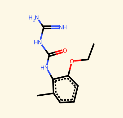 CCOc1cccc(C)c1NC(=O)NC(=N)N